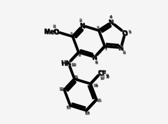 COc1nc2nonc2nc1Nc1ccccc1C(F)(F)F